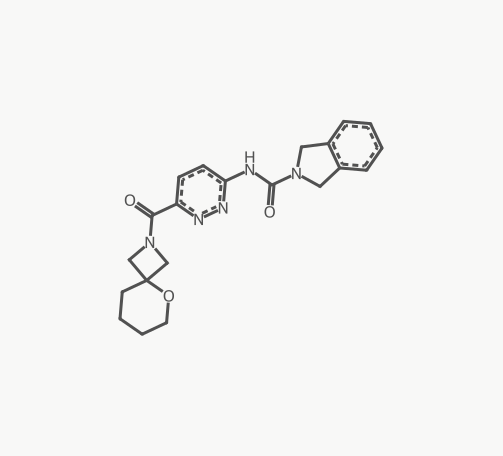 O=C(Nc1ccc(C(=O)N2CC3(CCCCO3)C2)nn1)N1Cc2ccccc2C1